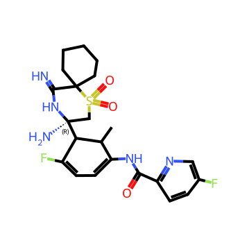 CC1C(NC(=O)c2ccc(F)cn2)=CC=C(F)C1[C@]1(N)CS(=O)(=O)C2(CCCCC2)C(=N)N1